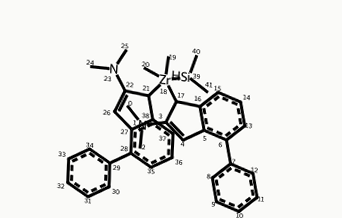 CN(C)C1=Cc2c(-c3ccccc3)cccc2[CH]1[Zr]([CH3])([CH3])([CH]1C(N(C)C)=Cc2c(-c3ccccc3)cccc21)[SiH](C)C